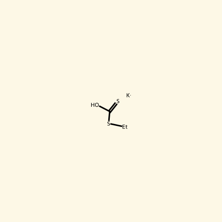 CCSC(O)=S.[K]